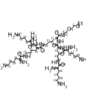 CCOCCOCCNC(=O)[C@@H](CCCCNC(=O)[C@@H](CCCCNC(=O)[C@H](N)CCCCN)NC(=O)[C@H](N)CCCCN)NC(=O)[C@@H](CCCCNC(=O)[C@H](N)CCCCN)NC(=O)[C@H](N)CCCCN